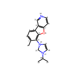 Cc1ccc2c(oc3ccncc32)c1N1C=CN(C(C)C)C1